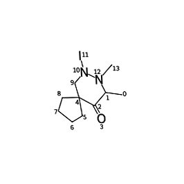 CC1C(=O)C2(CCCC2)CN(I)N1C